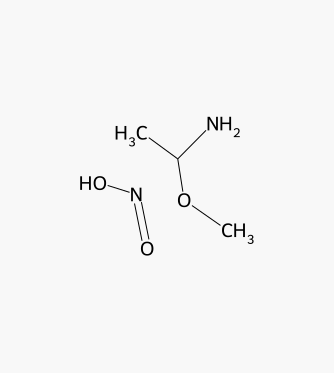 COC(C)N.O=NO